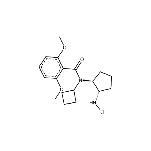 COc1cccc(OC)c1C(=O)N(C1CCC1)[C@H]1CCC[C@@H]1NCl